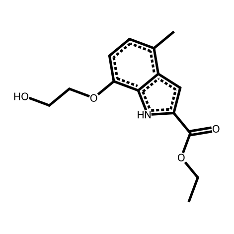 CCOC(=O)c1cc2c(C)ccc(OCCO)c2[nH]1